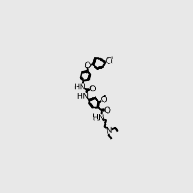 CCN(CC)CCNC(=O)c1ccc(NC(=O)Nc2ccc(Oc3ccc(Cl)cc3)cc2)cc1OC